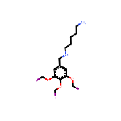 NCCCCCNCc1cc(OCI)c(OCI)c(OCI)c1